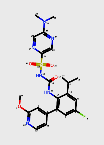 COc1cc(-c2cc(F)cc(C(C)C)c2NC(=O)NS(=O)(=O)c2cnc(N(C)C)cn2)ccn1